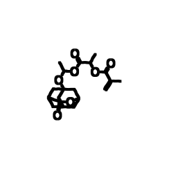 C=C(C)C(=O)OC(C)C(=O)OC(C)OC12CC3CC(C1)OC(=O)C(C3)C2